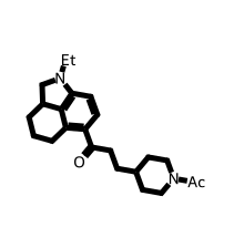 CCN1CC2CCCc3c(C(=O)CCC4CCN(C(C)=O)CC4)ccc1c32